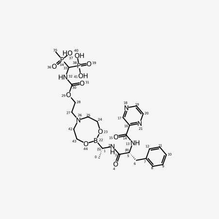 C[C@@H](NC(=O)[C@@H](Cc1ccccc1)NC(=O)c1cnccn1)B1OCCN(CCOC(=O)NC(P(C)(=O)O)P(=O)(O)O)CCO1